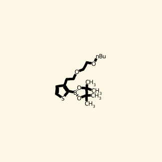 CCCCOCCOCCc1ccsc1B1OC(C)(C)C(C)(C)O1